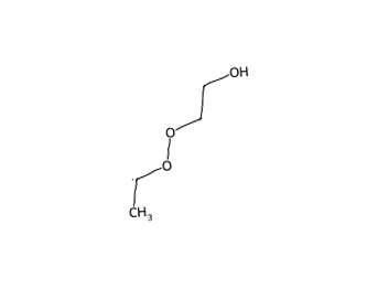 C[CH]OOCCO